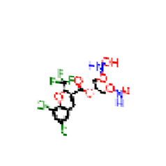 O=C(OC(CONO)CONO)C1=Cc2cc(Cl)cc(Cl)c2O[C@@H]1C(F)(F)F